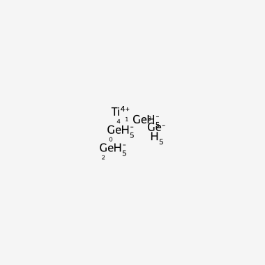 [GeH5-].[GeH5-].[GeH5-].[GeH5-].[Ti+4]